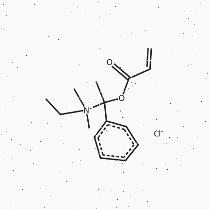 C=CC(=O)OC(C)(c1ccccc1)[N+](C)(C)CC.[Cl-]